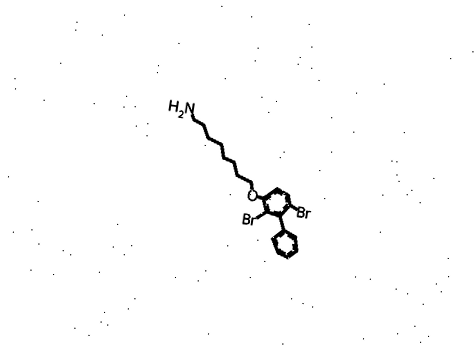 NCCCCCCCCOc1ccc(Br)c(-c2ccccc2)c1Br